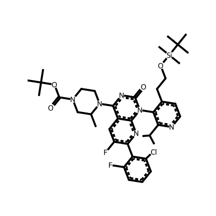 CC(C)c1nccc(CCO[Si](C)(C)C(C)(C)C)c1-n1c(=O)nc(N2CCN(C(=O)OC(C)(C)C)CC2C)c2cc(F)c(-c3c(F)cccc3Cl)nc21